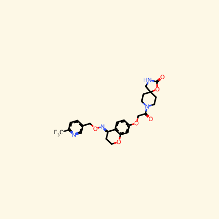 O=C1NCC2(CCN(C(=O)COc3ccc4c(c3)OCCC4=NOCc3ccc(C(F)(F)F)nc3)CC2)O1